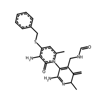 C=C1C(CNC=O)=C(n2c(C)cc(SCc3ccccc3)c(N)c2=O)C(N)=NC1C